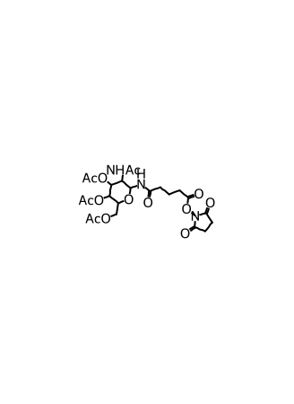 CC(=O)NC1C(NC(=O)CCCC(=O)ON2C(=O)CCC2=O)OC(COC(C)=O)C(OC(C)=O)C1OC(C)=O